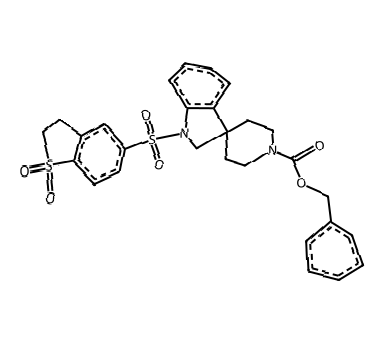 O=C(OCc1ccccc1)N1CCC2(CC1)CN(S(=O)(=O)c1ccc3c(c1)CCS3(=O)=O)c1ccccc12